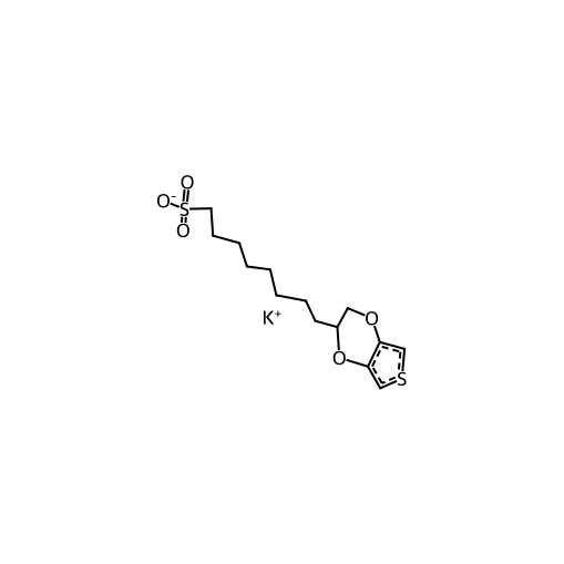 O=S(=O)([O-])CCCCCCCCC1COc2cscc2O1.[K+]